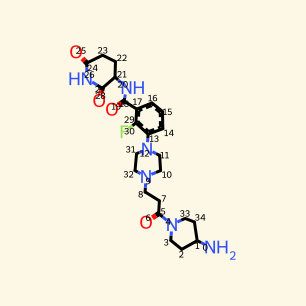 NC1CCN(C(=O)CCN2CCN(c3cccc(C(=O)NC4CCC(=O)NC4=O)c3F)CC2)CC1